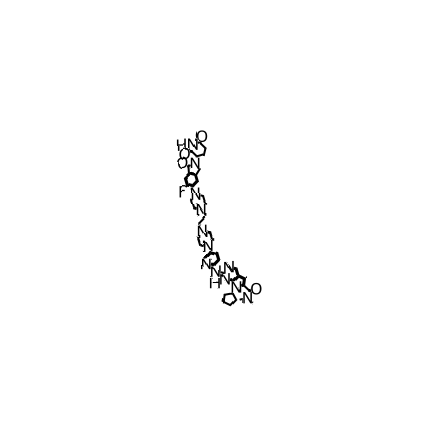 CN(C)C(=O)c1cc2cnc(Nc3ccc(N4CCN(CCN5CCN(c6cc7c(cc6F)C(=O)N(C6CCC(=O)NC6=O)C7)CC5)CC4)cn3)nc2n1C1CCCC1